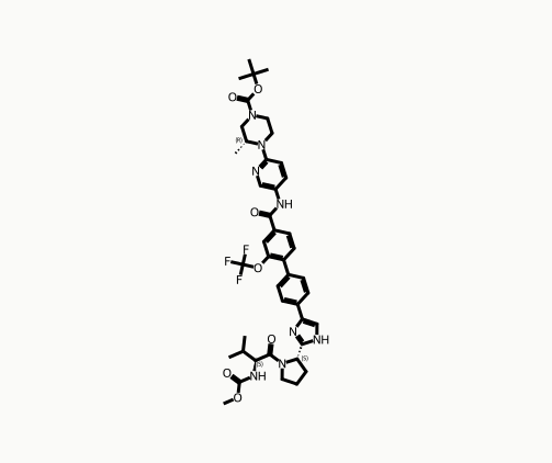 COC(=O)N[C@H](C(=O)N1CCC[C@H]1c1nc(-c2ccc(-c3ccc(C(=O)Nc4ccc(N5CCN(C(=O)OC(C)(C)C)C[C@H]5C)nc4)cc3OC(F)(F)F)cc2)c[nH]1)C(C)C